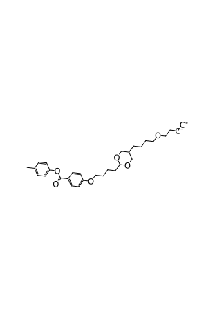 [CH2+][CH-]CCOCCCCC1COC(CCCCOc2ccc(C(=O)Oc3ccc(C)cc3)cc2)OC1